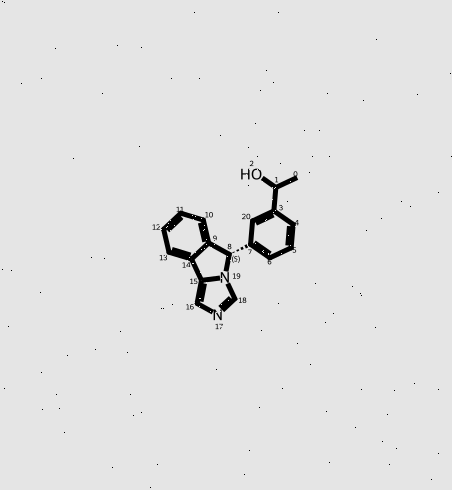 CC(O)c1cccc([C@H]2c3ccccc3-c3cncn32)c1